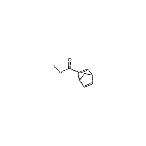 O=C(OI)C1=CC2C=CC1C2